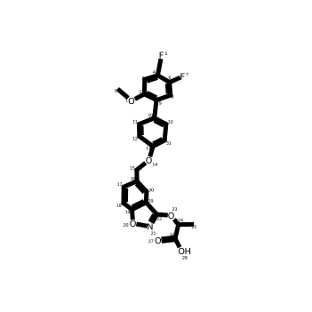 COc1cc(F)c(F)cc1-c1ccc(OCc2ccc3onc(OC(C)C(=O)O)c3c2)cc1